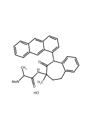 CNC(C)C(=O)NC1(C)CCc2ccccc2N(c2cccc3cc4ccccc4cc23)C1=O.Cl